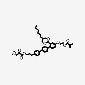 C=C(C)C(=O)OCCOc1ccc(-c2ccc(-c3ccc(CCCOC(=O)C(=O)COC)cc3)cc2)c(C2OCC(CCCCCC)CO2)c1